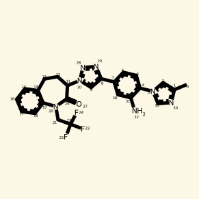 Cc1cn(-c2ccc(-c3cn(C4CCc5ccccc5N(CC(F)(F)F)C4=O)nn3)cc2N)cn1